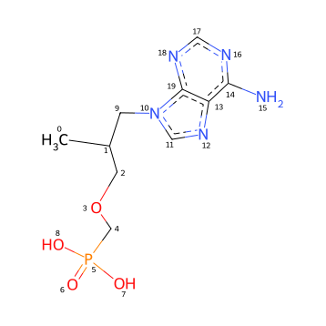 CC(COCP(=O)(O)O)Cn1cnc2c(N)ncnc21